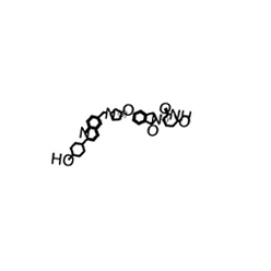 O=C1CC[C@H](N2Cc3cc(O[C@H]4CCN(Cc5ccc6nc(C7CCC(O)CC7)ccc6c5)C4)ccc3C2=O)C(=O)N1